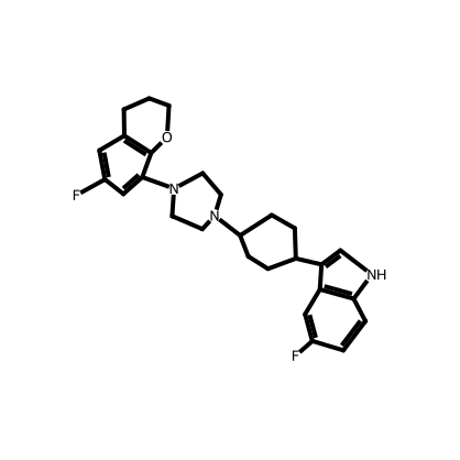 Fc1cc2c(c(N3CCN(C4CCC(c5c[nH]c6ccc(F)cc56)CC4)CC3)c1)OCCC2